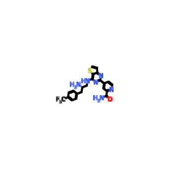 NC(=O)c1cc(-c2nc(NC[C@@H](N)Cc3ccc(C(F)(F)F)cc3)c3sccc3n2)ccn1